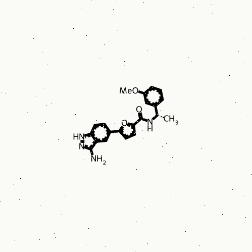 COc1cccc([C@H](C)NC(=O)c2ccc(-c3ccc4[nH]nc(N)c4c3)o2)c1